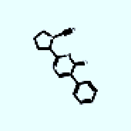 N#CN1CCCC1c1ncc(-c2ccccc2)c(=O)[nH]1